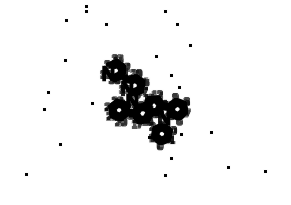 c1ccc(-n2c3ccccc3c3ccc4c(ccc5c6ccccc6n(-c6cccc(-c7cccnc7)n6)c54)c32)cc1